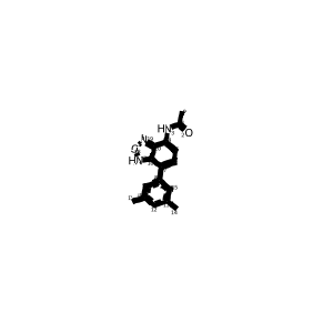 CC(=O)NC1=CC=C(c2cc(C)cc(C)c2)C2NON=C12